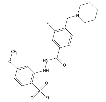 CCS(=O)(=O)c1ccc(OC(F)(F)F)cc1NNC(=O)c1ccc(CN2CCCCC2)c(F)c1